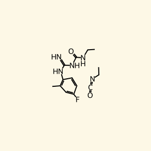 CCN=C=O.CCNC(=O)NC(=N)Nc1ccc(F)cc1C